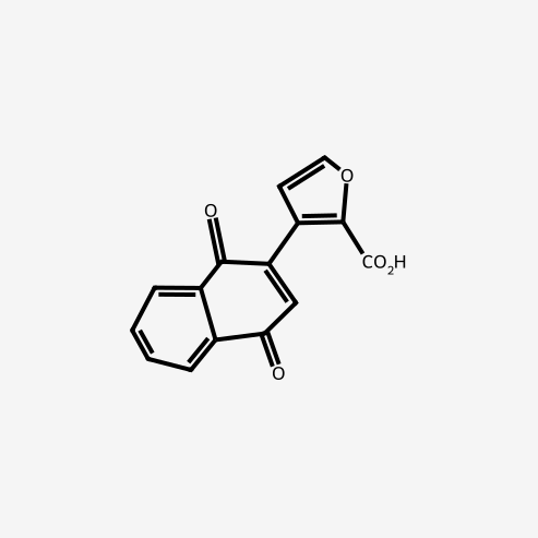 O=C1C=C(c2ccoc2C(=O)O)C(=O)c2ccccc21